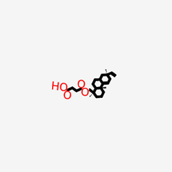 C=C[C@@]1(C)CC=C2C(CCC3[C@](C)(COC(=O)CCC(=O)O)CCC[C@@]23C)C1